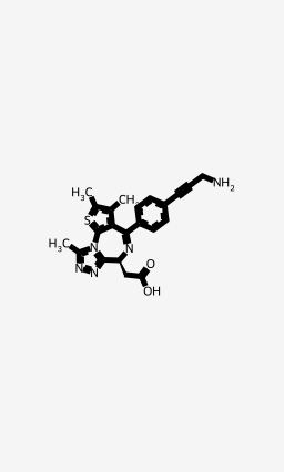 Cc1sc2c(c1C)C(c1ccc(C#CCN)cc1)=N[C@@H](CC(=O)O)c1nnc(C)n1-2